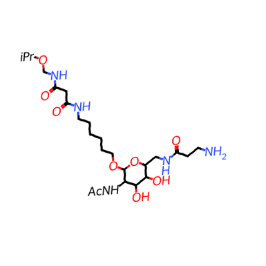 CC(=O)NC1C(OCCCCCCNC(=O)CC(=O)NCOC(C)C)OC(CNC(=O)CCN)C(O)C1O